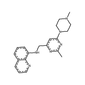 Cc1nc(CNc2cccc3cccnc23)cc(N2CCN(C)CC2)n1